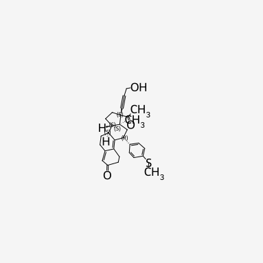 CSc1ccc([C@H]2C[C@@]3(C)[C@@H](CC[C@]3(C#CCO)C(C)=O)[C@@H]3CCC4=CC(=O)CCC4=C32)cc1